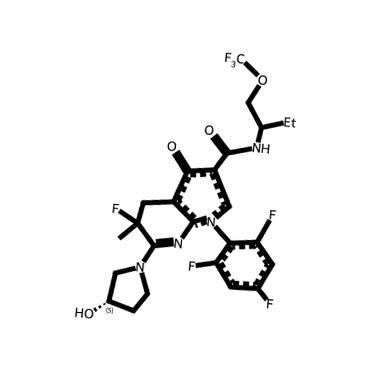 CCC(COC(F)(F)F)NC(=O)c1cn(-c2c(F)cc(F)cc2F)c2c(c1=O)CC(C)(F)C(N1CC[C@H](O)C1)=N2